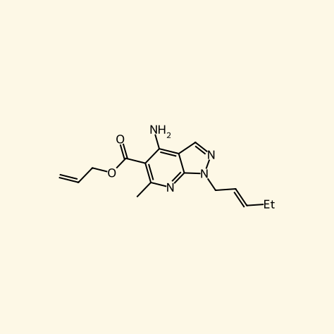 C=CCOC(=O)c1c(C)nc2c(cnn2CC=CCC)c1N